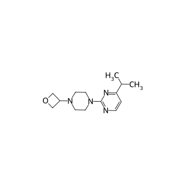 CC(C)c1ccnc(N2CCN(C3COC3)CC2)n1